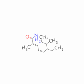 CCC(C)C(/C=C\C=C(/C)C(N)=O)CC